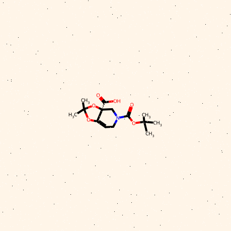 CC(C)(C)OC(=O)N1CC=C2OC(C)(C)O[C@@]2(C(=O)O)C1